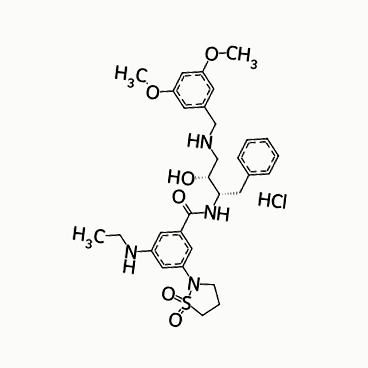 CCNc1cc(C(=O)N[C@@H](Cc2ccccc2)[C@H](O)CNCc2cc(OC)cc(OC)c2)cc(N2CCCS2(=O)=O)c1.Cl